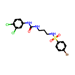 O=C(NCCCNS(=O)(=O)c1ccc(Br)cc1)Nc1ccc(Cl)c(Cl)c1